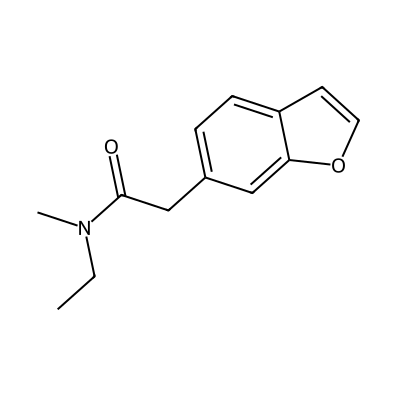 CCN(C)C(=O)Cc1ccc2ccoc2c1